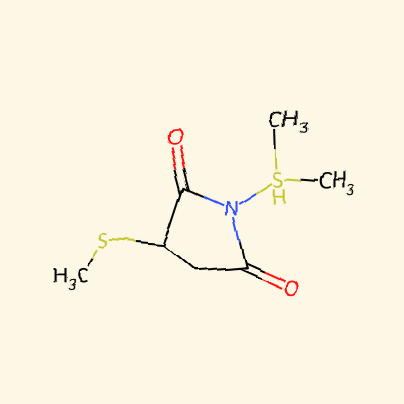 CSC1CC(=O)N([SH](C)C)C1=O